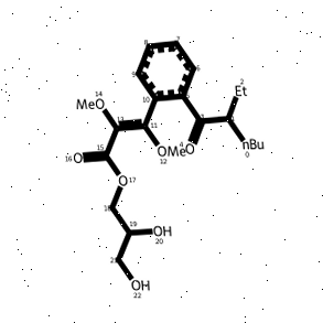 CCCCC(CC)C(=O)c1ccccc1C(OC)=C(OC)C(=O)OCC(O)CO